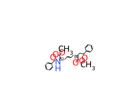 COC(=O)[C@H](CC=CC[C@H](NC(=O)c1ccccc1)C(=O)OC)CC(=O)c1ccccc1